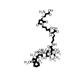 CN[C@H](C(=O)N[C@H](C(=O)N(C)[C@H](/C=C(\C)C(=O)NCCCC[C@@H](NC(=O)CCCN1C(=O)CC(SC[C@H](N)C(=O)O)C1=O)C(=O)O)C(C)C)C(C)(C)C)C(C)(C)c1cn(C)c2ccccc12